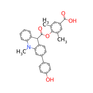 Cc1cc(C(=O)O)cc(C)c1OC(=O)C1c2ccccc2N(C)c2cc(-c3ccc(O)cc3)ccc21